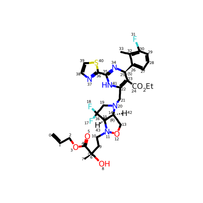 C=CCOC(=O)[C@@](C)(O)CCN1OC[C@H]2[C@@H]1C(F)(F)CN2CC1=C(C(=O)OCC)[C@H](c2cccc(F)c2C)N=C(c2nccs2)N1